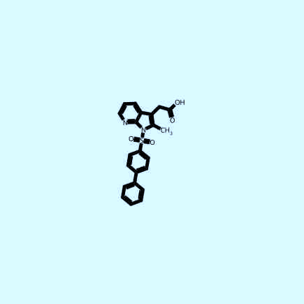 Cc1c(CC(=O)O)c2cccnc2n1S(=O)(=O)c1ccc(-c2ccccc2)cc1